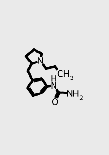 CCCN1CCCC1Cc1cccc(NC(N)=O)c1